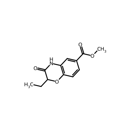 CCC1Oc2ccc(C(=O)OC)cc2NC1=O